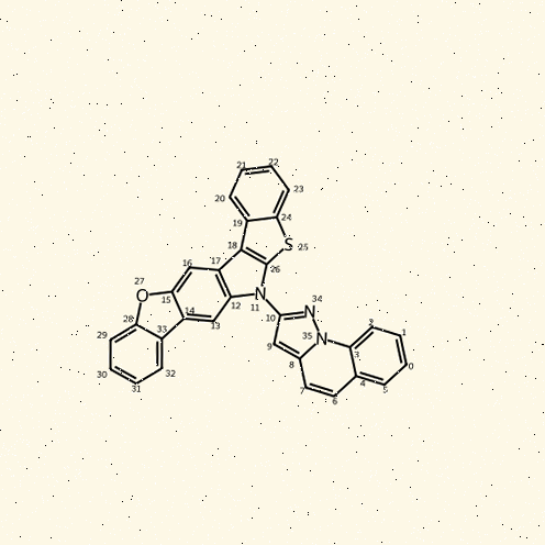 c1ccc2c(c1)ccc1cc(-n3c4cc5c(cc4c4c6ccccc6sc43)oc3ccccc35)nn12